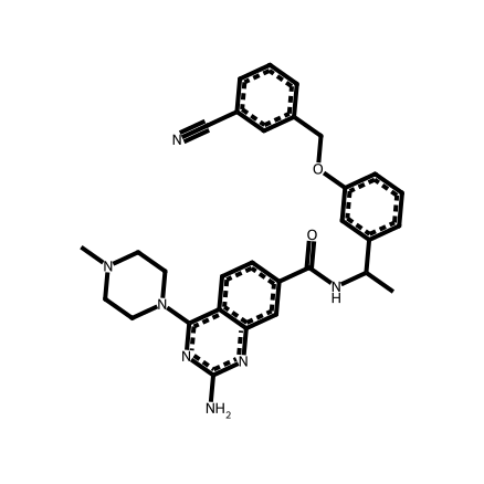 CC(NC(=O)c1ccc2c(N3CCN(C)CC3)nc(N)nc2c1)c1cccc(OCc2cccc(C#N)c2)c1